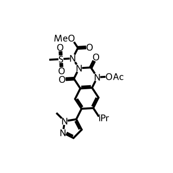 COC(=O)N(n1c(=O)c2cc(-c3ccnn3C)c(C(C)C)cc2n(OC(C)=O)c1=O)S(C)(=O)=O